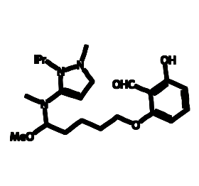 COC(CCCCOc1cccc(O)c1C=O)N(C)C1=CCN(C)N1C(C)C